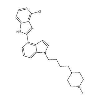 CN1CCC(CCCCn2ccc3c(-c4nc5c(Cl)cccc5[nH]4)cccc32)CC1